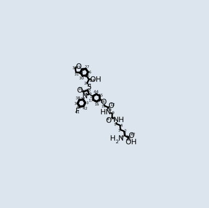 N[C@H](CCCCNC(=O)CNC(=O)COc1ccc([C@@H]2[C@@H](SCC(O)c3ccc4c(c3)CCO4)C(=O)N2c2ccc(F)cc2)cc1)C(=O)O